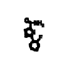 NC(=O)c1csc(-c2ccccc2F)n1